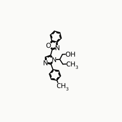 CCC(CO)n1c(-c2nc3ccccc3o2)cnc1-c1ccc(C)cc1